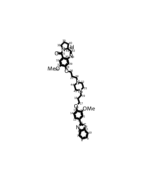 COc1cc(-c2nc3ccccc3s2)ccc1OCCCN1CCN(CCCOc2cc3c(cc2OC)C(=O)N2CCC[C@H]2C=N3)CC1